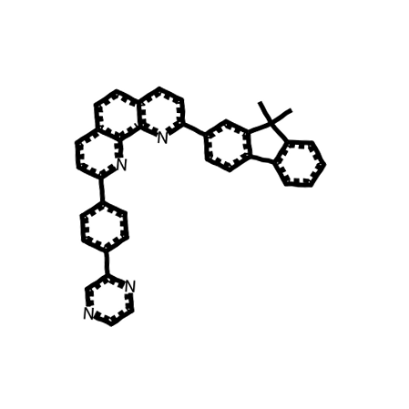 CC1(C)c2ccccc2-c2ccc(-c3ccc4ccc5ccc(-c6ccc(-c7cnccn7)cc6)nc5c4n3)cc21